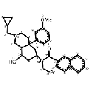 COc1cccc(C23CCN(CC4CC4)CC2C(O)CC(N(CC(C)C)C(=O)c2ccc4ccccc4c2)C3)c1